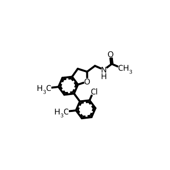 CC(=O)NCC1Cc2cc(C)cc(-c3c(C)cccc3Cl)c2O1